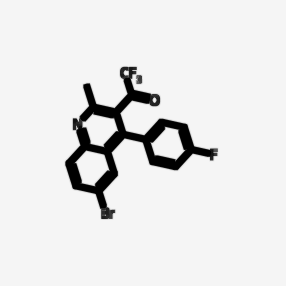 Cc1nc2ccc(Br)cc2c(-c2ccc(F)cc2)c1C(=O)C(F)(F)F